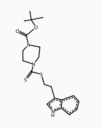 CC(C)(C)OC(=O)N1CCN(C(=S)SCCc2c[nH]c3ccccc23)CC1